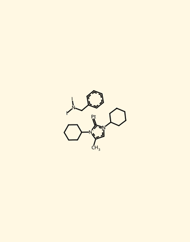 Cc1cn(C2CCCCC2)[c](=[Pt])n1C1CCCCC1.IN(I)Cc1ccccc1